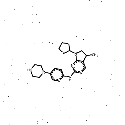 CC1CN(C2CCCC2)c2nc(Nc3ccc(N4CCNCC4)cn3)ncc21